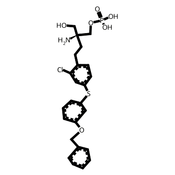 N[C@](CO)(CCc1ccc(Sc2cccc(OCc3ccccc3)c2)cc1Cl)COP(=O)(O)O